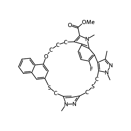 COC(=O)c1c2c3ccc(F)c(c3n1C)-c1c(C)nn(C)c1CSCc1cc(n(C)n1)CSc1cc(c3ccccc3c1)OCCC2